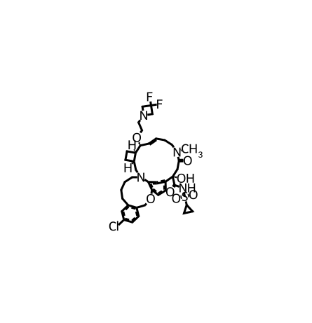 CN1CC/C=C/[C@H](OCCN2CC(F)(F)C2)[C@@H]2CC[C@H]2CN2CCCCc3cc(Cl)ccc3COc3ccc(cc32)[C@@](O)(C(=O)NS(=O)(=O)C2CC2)CC1=O